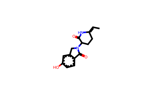 CC=C1CCC(N2Cc3cc(O)ccc3C2=O)C(=O)N1